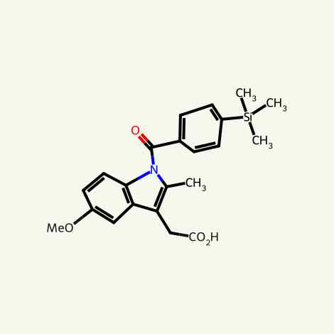 COc1ccc2c(c1)c(CC(=O)O)c(C)n2C(=O)c1ccc([Si](C)(C)C)cc1